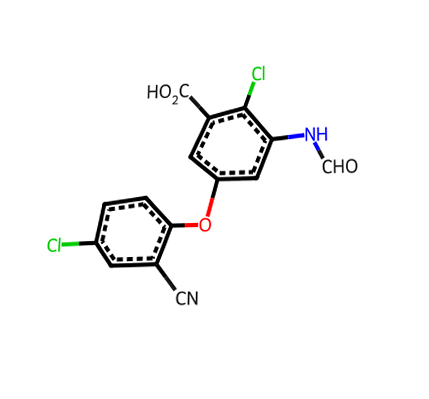 N#Cc1cc(Cl)ccc1Oc1cc(NC=O)c(Cl)c(C(=O)O)c1